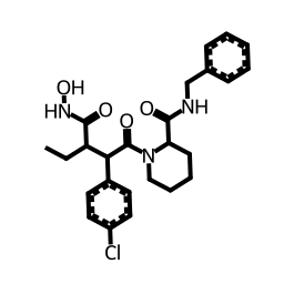 CCC(C(=O)NO)C(C(=O)N1CCCCC1C(=O)NCc1ccccc1)c1ccc(Cl)cc1